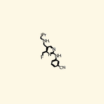 CC(C)CNCc1cnc(Nc2cccc(C#N)c2)nc1CF